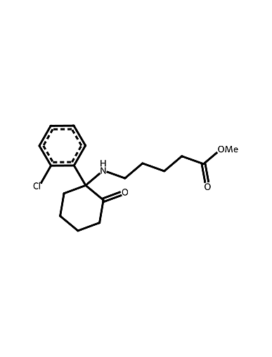 COC(=O)CCCCNC1(c2ccccc2Cl)CCCCC1=O